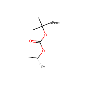 CCCCCC(C)(C)OC(=O)O[C@@H](C)C(C)C